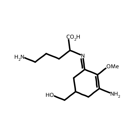 COC1=C(N)CC(CO)C/C1=N\C(CCCN)C(=O)O